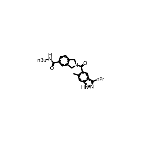 CCCCNC(=O)c1ccc2c(c1)CN(C(=O)c1cc3c(CCC)n[nH]c3cc1C)C2